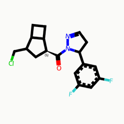 O=C([C@H]1CC(CCl)C2CCC21)N1N=CCC1c1cc(F)cc(F)c1